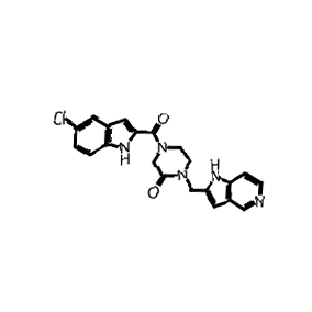 O=C1CN(C(=O)c2cc3cc(Cl)ccc3[nH]2)CCN1Cc1cc2cnccc2[nH]1